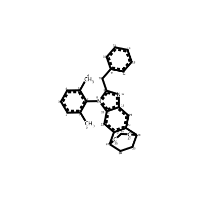 Cc1cccc(C)c1-n1c(Cc2ccccc2)nc2cc3c(cc21)C1CCCC3CC1